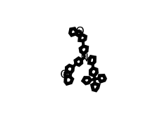 c1ccc(C(c2ccccc2)(c2ccccc2)c2ccc(-c3cccc(N(c4ccc(-c5ccc6oc7ccccc7c6c5)cc4)c4ccc(-c5ccc6oc7ccccc7c6c5)cc4)c3)cc2)cc1